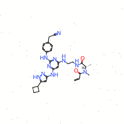 C=CC(=O)N(C)[C@@H](C)C(=O)NCCNc1cc(Nc2cc(C3CCC3)[nH]n2)nc(Nc2ccc(CC#N)cc2)n1